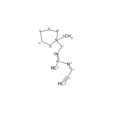 C#C/C=N\C(C#N)=N/CC1(C)CCCCC1